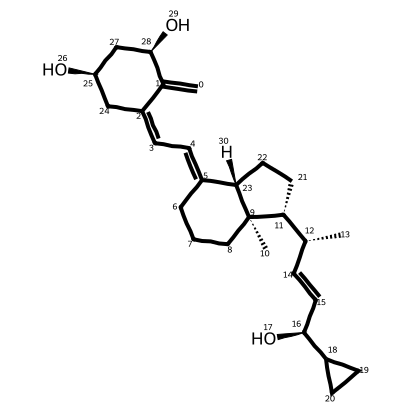 C=C1/C(=C\C=C2/CCC[C@]3(C)[C@@H]([C@H](C)/C=C/[C@H](O)C4CC4)CC[C@@H]23)C[C@@H](O)C[C@H]1O